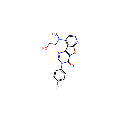 CN(CCO)c1ccnc2sc3c(=O)n(-c4ccc(Br)cc4)cnc3c12